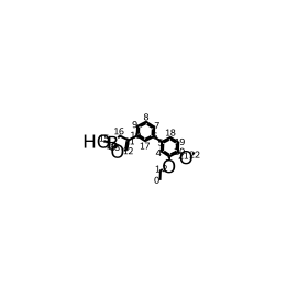 CCOc1cc(-c2cccc(C3=COB(O)C3)c2)ccc1OC